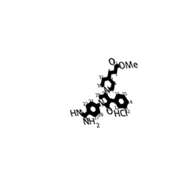 COC(=O)CCC1CCN(C2=C(c3ccccc3)C(=O)N(c3ccc(C(=N)N)cc3)C2)CC1.Cl